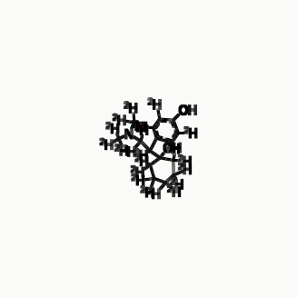 [2H]c1cc(C([2H])(C([2H])([2H])N(C([2H])([2H])[2H])C([2H])([2H])[2H])C2(O)C([2H])([2H])C([2H])([2H])C([2H])([2H])C([2H])([2H])C2([2H])[2H])c([2H])c([2H])c1O